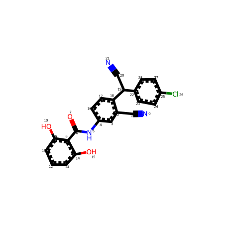 N#Cc1cc(NC(=O)c2c(O)cccc2O)ccc1C(C#N)c1ccc(Cl)cc1